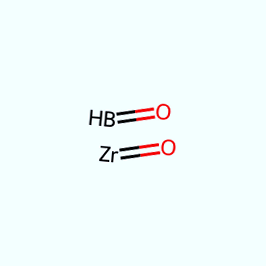 B=O.[O]=[Zr]